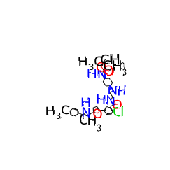 Cc1ccc(C(C)NCc2ccc(-c3ccc(Cl)c(C(=O)NCCNC4CCC(NC(=O)OC(C)(C)C)CC4)c3)o2)cc1